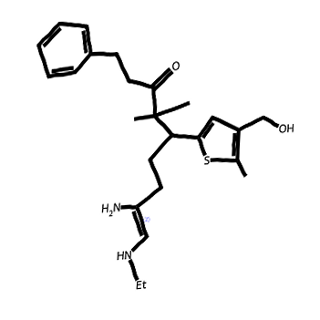 CCN/C=C(\N)CCC(c1cc(CO)c(C)s1)C(C)(C)C(=O)CCc1ccccc1